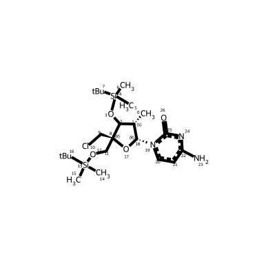 C[C@H]1C(O[Si](C)(C)C(C)(C)C)[C@@](CCl)(CO[Si](C)(C)C(C)(C)C)O[C@H]1n1ccc(N)nc1=O